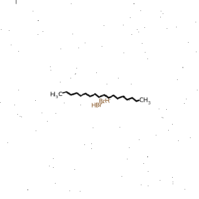 Br.Br.CCCCCCCCCCCCCCCCCC